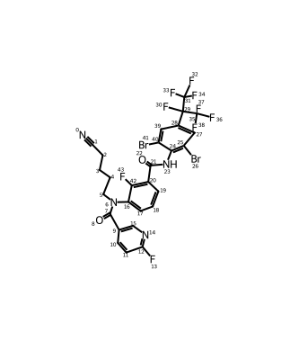 N#CCCCCN(C(=O)c1ccc(F)nc1)c1cccc(C(=O)Nc2c(Br)cc(C(F)(C(F)(F)F)C(F)(F)F)cc2Br)c1F